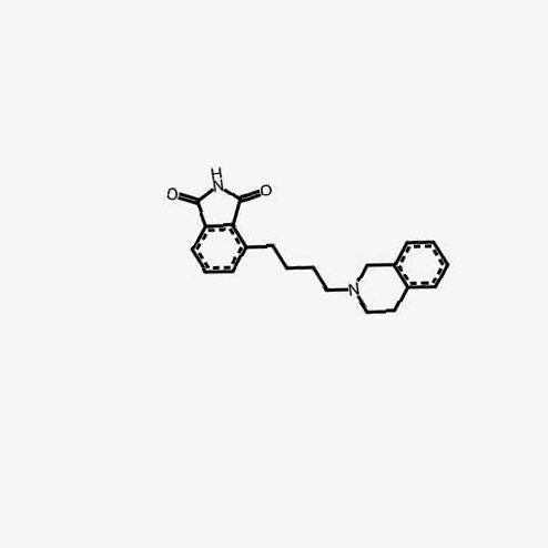 O=C1NC(=O)c2c(CCCCN3CCc4ccccc4C3)cccc21